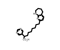 O=C(O)C(CCCCCCCc1ccc2c(n1)NCCCC2)c1cncnc1